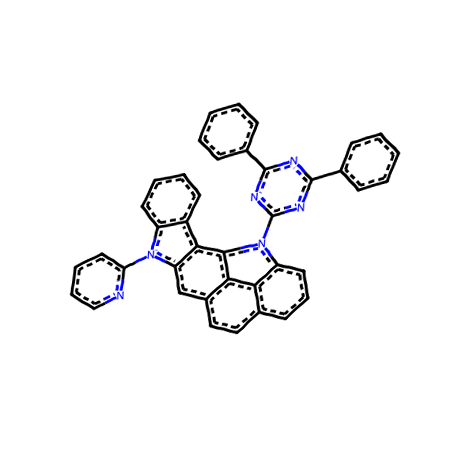 c1ccc(-c2nc(-c3ccccc3)nc(-n3c4cccc5ccc6cc7c(c8ccccc8n7-c7ccccn7)c3c6c54)n2)cc1